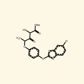 COC(=O)C(O)C(=O)C(C)Oc1ccc(Oc2nc3ccc(Cl)cc3s2)cc1